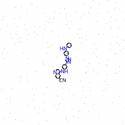 N#Cc1ccc2nccc(Nc3ccc(-c4cn(-c5ccc(Nc6ccccc6)cc5)nn4)cc3)c2c1